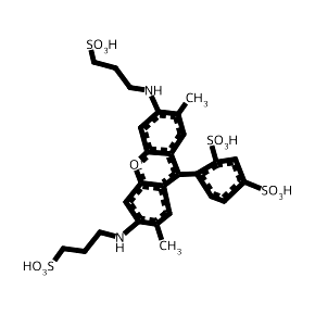 Cc1cc2c(-c3ccc(S(=O)(=O)O)cc3S(=O)(=O)O)c3cc(C)c(NCCCS(=O)(=O)O)cc3[o+]c2cc1NCCCS(=O)(=O)O